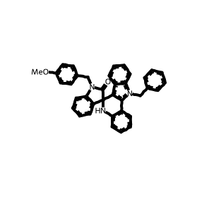 COc1ccc(CN2C(=O)C3(Nc4ccccc4-c4c3c3ccccc3n4Cc3ccccc3)c3ccccc32)cc1